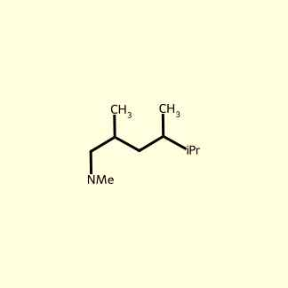 CNCC(C)CC(C)C(C)C